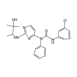 CC(Nc1nccc(N(C(=O)Nc2cccc(Cl)c2)c2ccccc2)n1)C(C)(C)O